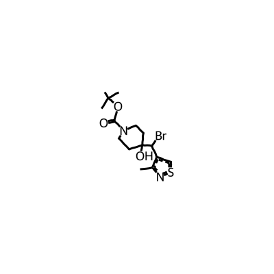 Cc1nscc1C(Br)C1(O)CCN(C(=O)OC(C)(C)C)CC1